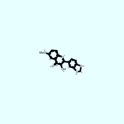 COc1ccc2oc(-c3ccc4c(c3)OCO4)c(O)c(=O)c2c1